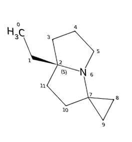 CC[C@@]12CCCN1C1(CC1)CC2